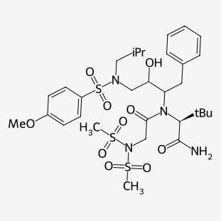 COc1ccc(S(=O)(=O)N(CC(C)C)CC(O)C(Cc2ccccc2)N(C(=O)CN(S(C)(=O)=O)S(C)(=O)=O)[C@H](C(N)=O)C(C)(C)C)cc1